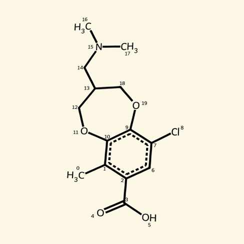 Cc1c(C(=O)O)cc(Cl)c2c1OCC(CN(C)C)CO2